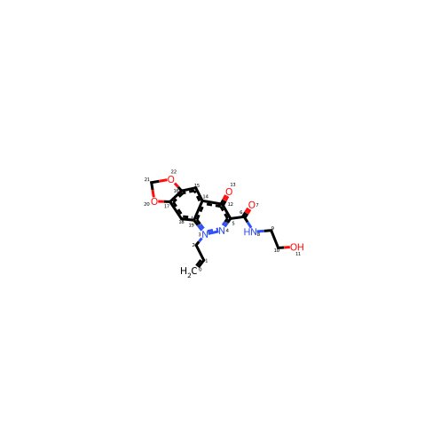 C=CCn1nc(C(=O)NCCO)c(=O)c2cc3c(cc21)OCO3